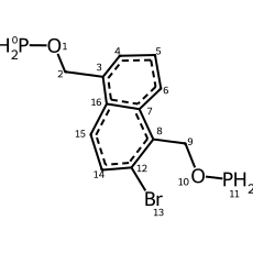 POCc1cccc2c(COP)c(Br)ccc12